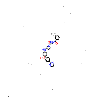 O=C(NCC(=O)N1CCC(NC2CCC(O)(c3ccc(-c4ncccn4)cc3)CC2)C1)c1cccc(C(F)(F)F)c1